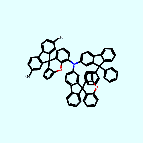 CC(C)(C)c1ccc2c(c1)C1(c3ccccc3Oc3c(N(c4ccc5c(c4)C(c4ccccc4)(c4ccccc4)c4ccccc4-5)c4ccc5c(c4)C4(c6ccccc6Oc6ccccc64)c4ccccc4-5)cccc31)c1cc(C(C)(C)C)ccc1-2